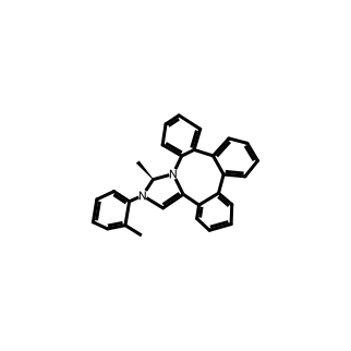 Cc1ccccc1N1C=C2c3ccccc3-c3ccccc3-c3ccccc3N2[C@@H]1C